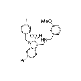 COc1cccc(CNCc2c(C(=O)O)n(Cc3ccc(C)cc3)c3cc(C(C)C)ccc23)c1